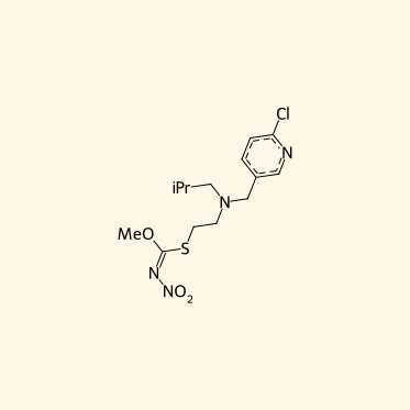 CO/C(=N/[N+](=O)[O-])SCCN(Cc1ccc(Cl)nc1)CC(C)C